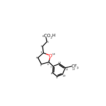 O=C(O)CCC1CCC(c2cccc(C(F)(F)F)c2)O1